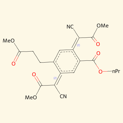 CCCOC(=O)c1c/c(=C(\C#N)C(=O)OC)c(CCC(=O)OC)c/c1=C(\C#N)C(=O)OC